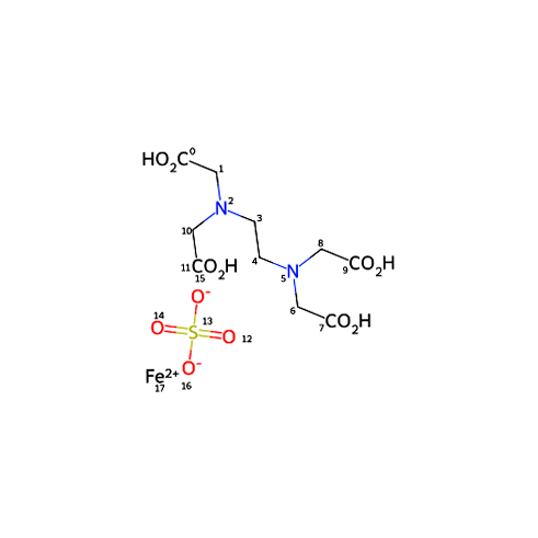 O=C(O)CN(CCN(CC(=O)O)CC(=O)O)CC(=O)O.O=S(=O)([O-])[O-].[Fe+2]